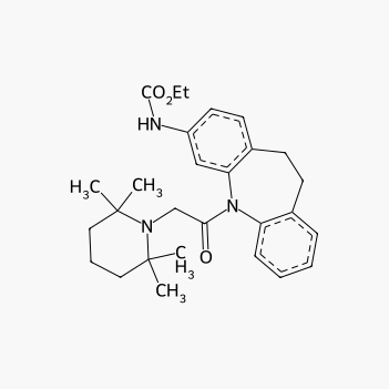 CCOC(=O)Nc1ccc2c(c1)N(C(=O)CN1C(C)(C)CCCC1(C)C)c1ccccc1CC2